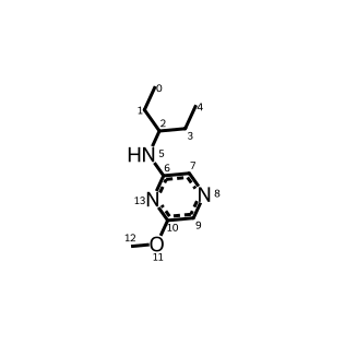 CCC(CC)Nc1cncc(OC)n1